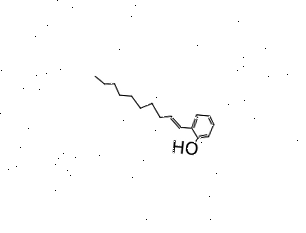 CCCCCCCCC=Cc1ccccc1O